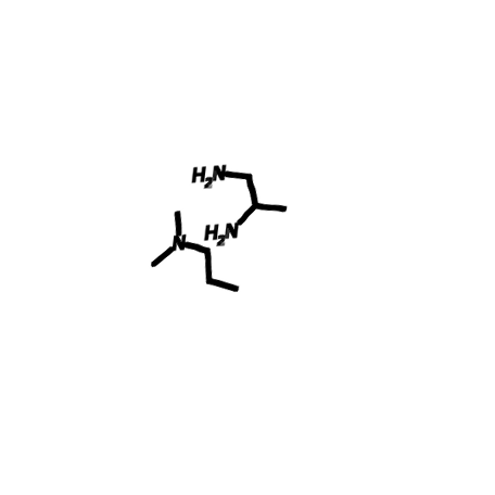 CC(N)CN.CCCN(C)C